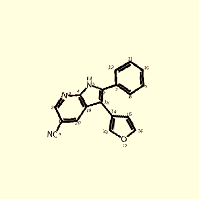 N#Cc1cnc2[nH]c(-c3ccccc3)c(-c3ccoc3)c2c1